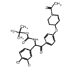 CC(=O)N1CCC(Oc2ccc(C(=O)C(NC(=O)OC(C)(C)C)c3ccc(Cl)c(Cl)c3)cc2)CC1